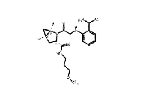 CC(=O)C(N)c1ccccc1NCC(=O)N1[C@@H]2C[C@@H]2C[C@H]1C(=O)NCCCOC(F)(F)F